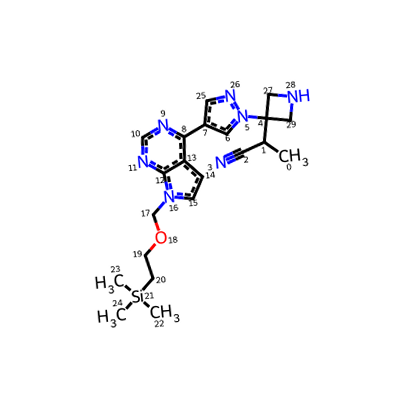 CC(C#N)C1(n2cc(-c3ncnc4c3ccn4COCC[Si](C)(C)C)cn2)CNC1